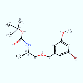 COc1cc(Br)cc(COC[C@@H](C)NC(=O)OC(C)(C)C)c1